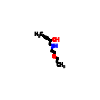 CC#CC(O)CNCCOCCC